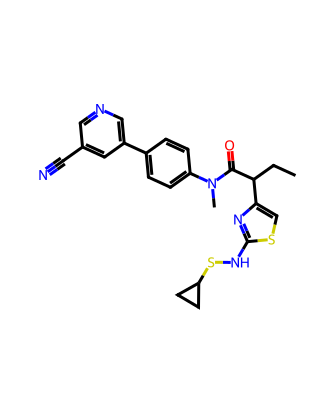 CCC(C(=O)N(C)c1ccc(-c2cncc(C#N)c2)cc1)c1csc(NSC2CC2)n1